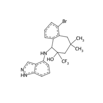 CC1(C)Cc2c(Br)cccc2C(Nc2cccc3[nH]ncc23)C(O)(C(F)(F)F)C1